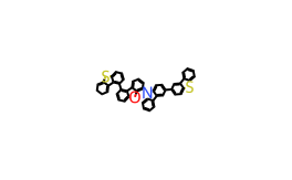 C1=c2sc3cccc(-c4cccc5oc6c(-n7c8ccccc8c8cc(-c9ccc%10sc%11ccccc%11c%10c9)ccc87)cccc6c45)c3c2=CCC1